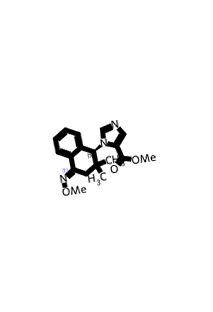 CO/N=C1\CC(C)(C)[C@H](n2cncc2C(=O)OC)c2ccccc21